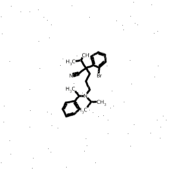 CC(C)N(CCCC(C#N)(c1ccccc1Br)C(C)C)C(C)c1ccccc1